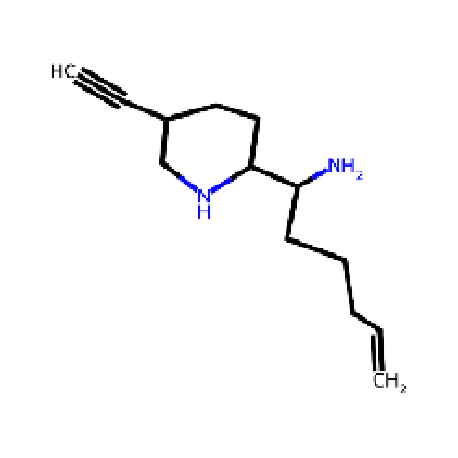 C#CC1CCC(C(N)CCCC=C)NC1